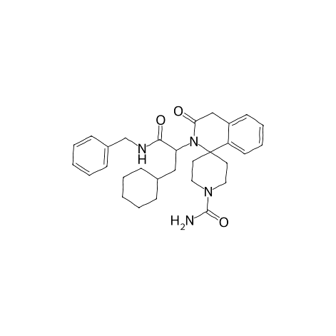 NC(=O)N1CCC2(CC1)c1ccccc1CC(=O)N2C(CC1CCCCC1)C(=O)NCc1ccccc1